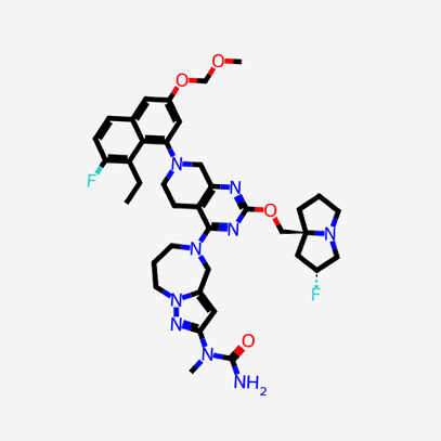 CCc1c(F)ccc2cc(OCOC)cc(N3CCc4c(nc(OC[C@@]56CCCN5C[C@H](F)C6)nc4N4CCCn5nc(N(C)C(N)=O)cc5C4)C3)c12